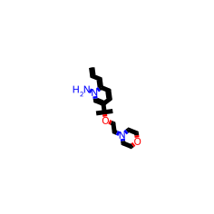 C=C/C=C1/C=CC(C(C)(C)OCCN2CCOCC2)=CN1N